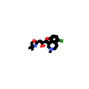 CN1CCc2c(Cl)ccc3oc(C(O)CC4=NC(C)(C)CO4)c(c23)C1